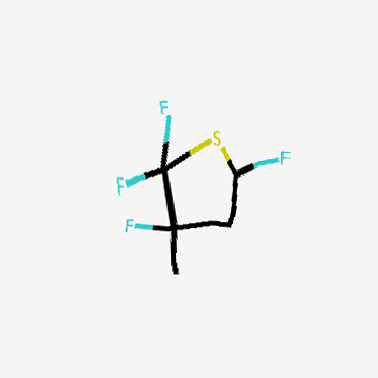 CC1(F)CC(F)SC1(F)F